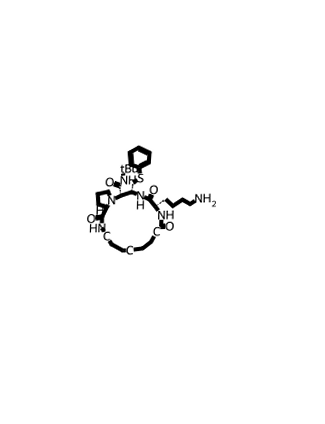 CC(C)(C)NC(=O)[C@@H]1[C@H](CSc2ccccc2)NC(=O)[C@H](CCCCN)NC(=O)CCCCCCCNC(=O)[C@@H]2CCCN12